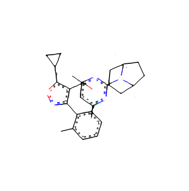 Cc1cc(C(=O)O)nc(N2[C@@H]3CC[C@H]2C[C@H](OCc2c(-c4c(C)cccc4F)noc2C2CC2)C3)n1